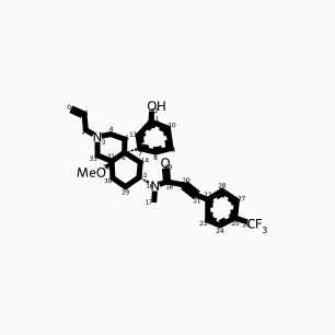 C=CCN1CC[C@@]2(c3cccc(O)c3)C[C@H](N(C)C(=O)C#Cc3ccc(C(F)(F)F)cc3)CC[C@]2(OC)C1